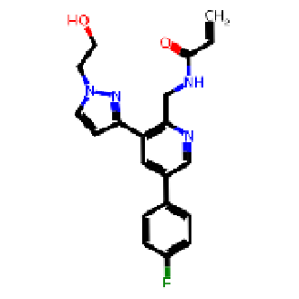 C=CC(=O)NCc1ncc(-c2ccc(F)cc2)cc1-c1ccn(CCO)n1